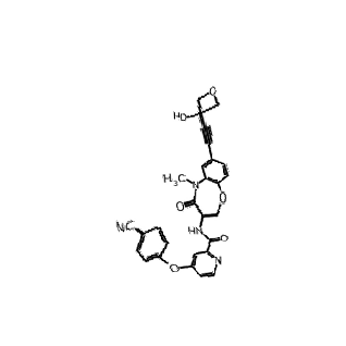 CN1C(=O)C(NC(=O)c2cc(Oc3ccc(C#N)cc3)ccn2)COc2ccc(C#CC3(O)COC3)cc21